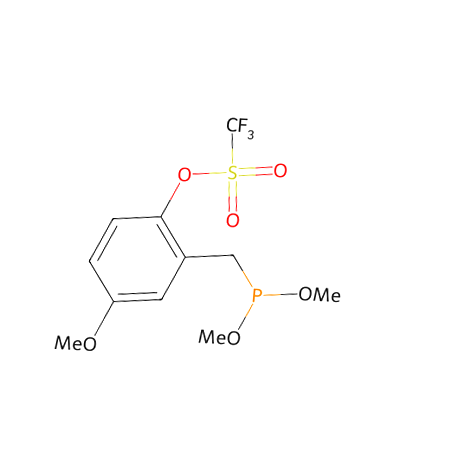 COc1ccc(OS(=O)(=O)C(F)(F)F)c(CP(OC)OC)c1